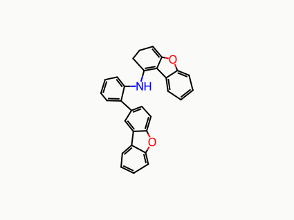 C1=c2oc3ccccc3c2=C(Nc2ccccc2-c2ccc3oc4ccccc4c3c2)CC1